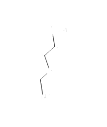 CCCCO[CH]CC(=O)O